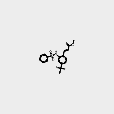 COC(=O)C=Cc1ccc(C(F)(F)F)cc1NS(=O)(=O)c1ccccc1